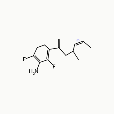 C=C(CC(C)/C=C\C)C1=C(F)C(N)=C(F)CC1